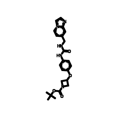 CC(C)(C)OC(=O)N1CC(Oc2ccc(NC(=O)NCc3ccn4ccnc4c3)cc2)C1